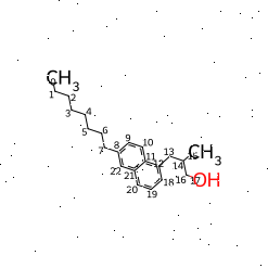 CCCCCCCCc1ccc2c(CC(C)CO)cccc2c1